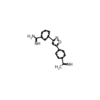 CC(=N)c1ccc(-c2cc(-c3cccc(C(=N)N)c3)no2)cc1